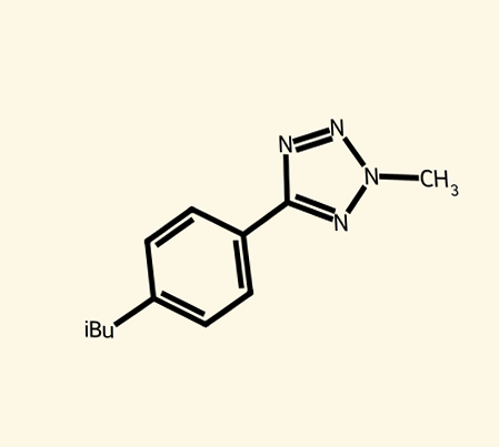 CCC(C)c1ccc(-c2nnn(C)n2)cc1